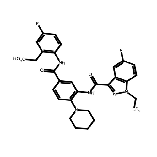 O=C(O)Cc1cc(F)ccc1NC(=O)c1ccc(N2CCCCC2)c(NC(=O)c2nn(CC(F)(F)F)c3ccc(F)cc23)c1